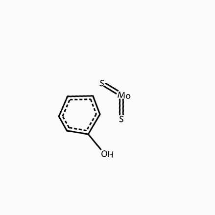 Oc1ccccc1.[S]=[Mo]=[S]